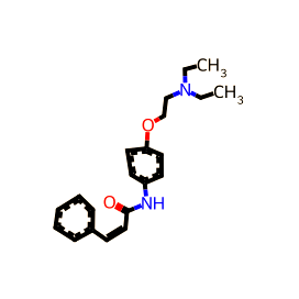 CCN(CC)CCOc1ccc(NC(=O)/C=C\c2ccccc2)cc1